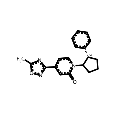 O=c1cc(-c2noc(C(F)(F)F)n2)ccn1C1CCC[C@H]1c1ccccc1